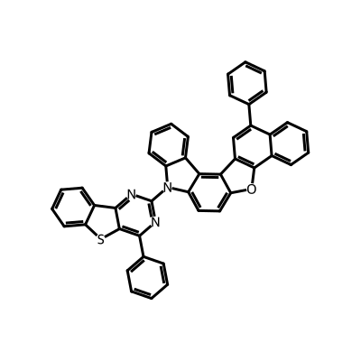 c1ccc(-c2cc3c(oc4ccc5c(c6ccccc6n5-c5nc(-c6ccccc6)c6sc7ccccc7c6n5)c43)c3ccccc23)cc1